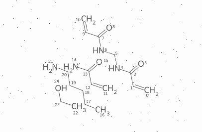 C=CC(=O)NCNC(=O)C=C.C=CC(N)=O.CCCCCN.CCO